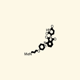 CNCCCO[C@H]1CC[C@H](Nc2cccc3c2C(=O)N(C2CCC(=O)NC2=O)C3=O)CC1